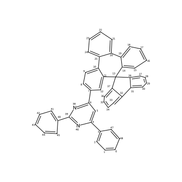 c1ccc(-c2cc(-c3ccc4c(c3)C3(c5ccccc5-c5ccccc5-4)c4ccccc4-c4ccccc43)nc(-c3ccccc3)n2)cc1